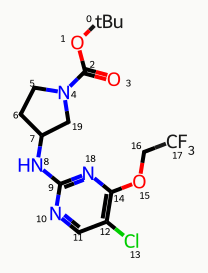 CC(C)(C)OC(=O)N1CCC(Nc2ncc(Cl)c(OCC(F)(F)F)n2)C1